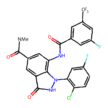 CNC(=O)c1cc(NC(=O)c2cc(F)cc(C(F)(F)F)c2)c2c(c1)c(=O)[nH]n2-c1cc(F)ccc1Cl